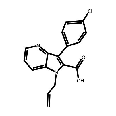 C=CCn1c(C(=O)O)c(-c2ccc(Cl)cc2)c2ncccc21